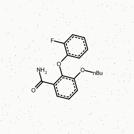 CCCCOc1cccc(C(N)=O)c1Oc1ccccc1F